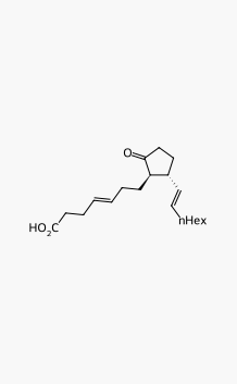 CCCCCCC=C[C@H]1CCC(=O)[C@@H]1CC/C=C/CCC(=O)O